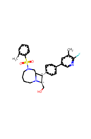 Cc1ccccc1S(=O)(=O)N1CCCCN2C(C1)[C@H](c1ccc(-c3cnc(F)c(C)c3)cc1)[C@H]2CO